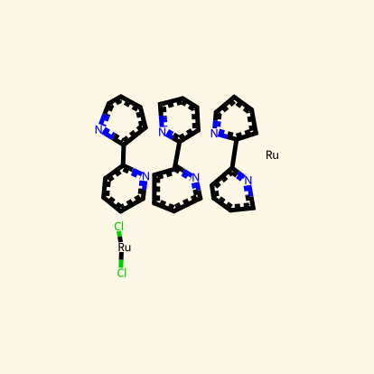 [Cl][Ru][Cl].[Ru].c1ccc(-c2ccccn2)nc1.c1ccc(-c2ccccn2)nc1.c1ccc(-c2ccccn2)nc1